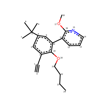 C#Cc1cc(C(C)(C)C)cc(-c2cccnc2OC)c1OCCCC